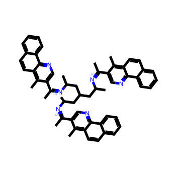 C/C(=N/C(C)CC(CC(C)/N=C(/C)c1cnc2c(ccc3ccccc32)c1C)CC(C)/N=C(/C)c1cnc2c(ccc3ccccc32)c1C)c1cnc2c(ccc3ccccc32)c1C